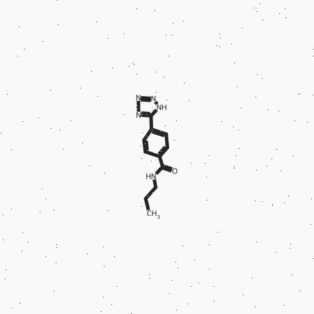 CCCNC(=O)c1ccc(-c2nnn[nH]2)cc1